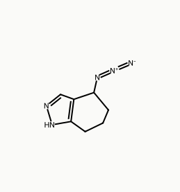 [N-]=[N+]=NC1CCCc2[nH]ncc21